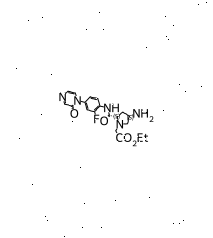 CCOC(=O)CN1C[C@@H](N)C[C@H]1C(=O)Nc1ccc(-n2ccncc2=O)cc1F